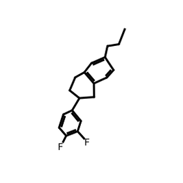 CCCc1ccc2c(c1)CCC(c1ccc(F)c(F)c1)C2